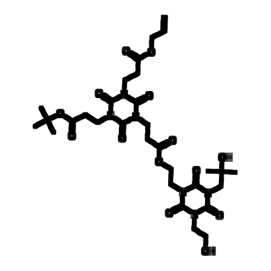 C=CCOC(=O)CCn1c(=O)n(CCC(=O)OCCn2c(=O)n(CCO)c(=O)n(CC(C)(C)O)c2=O)c(=O)n(CCC(=O)OC(C)(C)C)c1=O